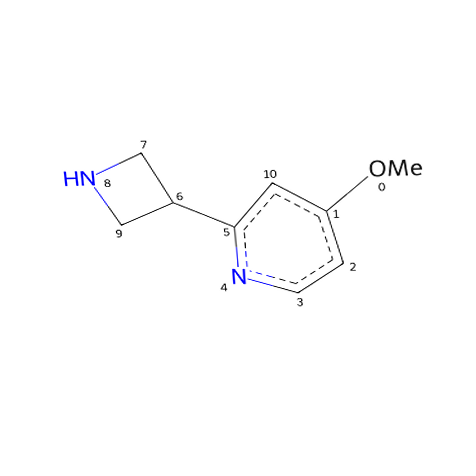 COc1ccnc(C2CNC2)c1